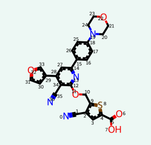 N#Cc1cc(C(=O)O)sc1COc1nc(-c2ccc(N3CCOCC3)cc2)cc(-c2ccoc2)c1C#N